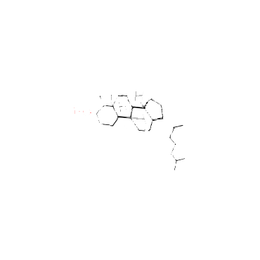 CC(C)CCCC(C)[C@H]1CC[C@H]2[C@@H]3CC[C@@H]4[C@H](C)[C@@H](O)CC[C@]4(C)[C@H]3CC[C@]12C